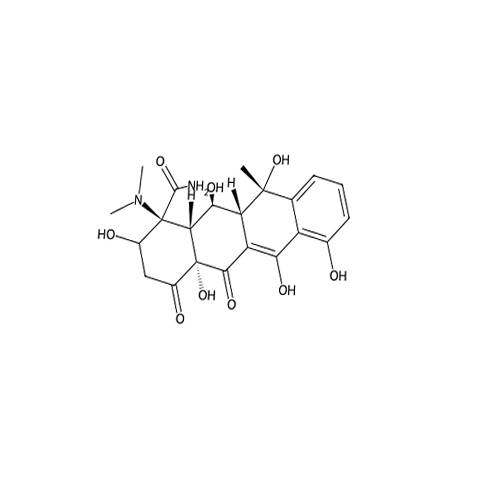 CN(C)[C@]1(C(N)=O)C(O)CC(=O)[C@]2(O)C(=O)C3=C(O)c4c(O)cccc4[C@@](C)(O)[C@H]3[C@H](O)[C@H]21